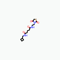 O=C(CCCC(=O)NCC1CCC1)NCCN1C(=O)CSC1=O